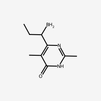 BC(CC)c1nc(C)[nH]c(=O)c1C